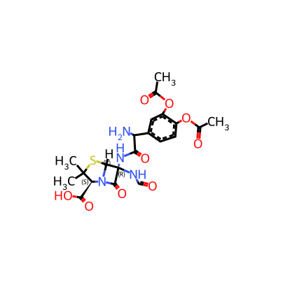 CC(=O)Oc1ccc(C(N)C(=O)N[C@]2(NC=O)C(=O)N3[C@@H](C(=O)O)C(C)(C)S[C@@H]32)cc1OC(C)=O